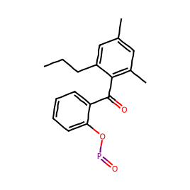 CCCc1cc(C)cc(C)c1C(=O)c1ccccc1OP=O